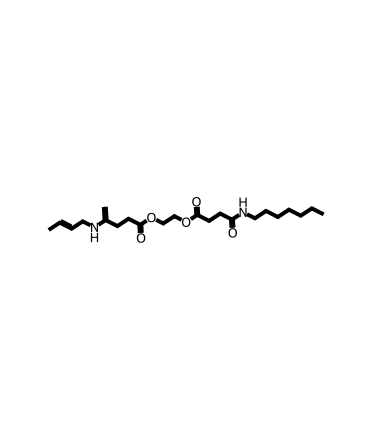 C=C(CCC(=O)OCCOC(=O)CCC(=O)NCCCCCCC)NC/C=C/C